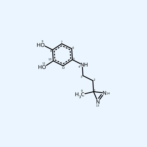 CC1(CCNc2ccc(O)c(O)c2)N=N1